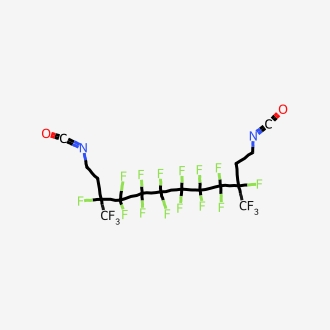 O=C=NCCC(F)(C(F)(F)F)C(F)(F)C(F)(F)C(F)(F)C(F)(F)C(F)(F)C(F)(F)C(F)(CCN=C=O)C(F)(F)F